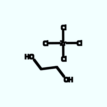 OCCO.[Cl][Zr]([Cl])([Cl])[Cl]